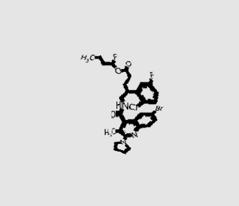 CCCC(F)OC(=O)CCC(CNC(=O)c1c(C)c(N2CCCC2)nc2ccc(Br)cc12)c1cc(F)ccc1Cl